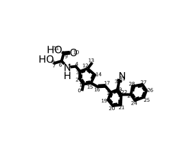 Cc1cc(CNC(CO)C(=O)O)c(C)cc1/C=C/c1cccc(-c2ccccc2)c1C#N